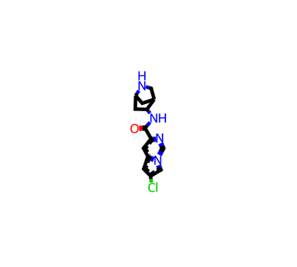 O=C(NC1CC2CC1CN2)c1cc2cc(Cl)cn2cn1